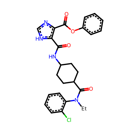 CCN(C(=O)C1CCC(NC(=O)c2[nH]cnc2C(=O)Oc2ccccc2)CC1)c1ccccc1Cl